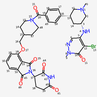 CN1C[C@H](Nc2cnn(C)c(=O)c2Br)C[C@H](c2ccc(C(=O)N3CCC(COc4cccc5c4C(=O)N(C4CCC(=O)NC4=O)C5=O)CC3)cc2)C1